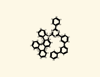 c1ccc(-c2cccc(-c3cccc(-c4nc(-c5ccccc5)nc(-n5c6ccccc6c6c7c8ccccc8c8ccccc8c7ccc65)n4)c3)c2)cc1